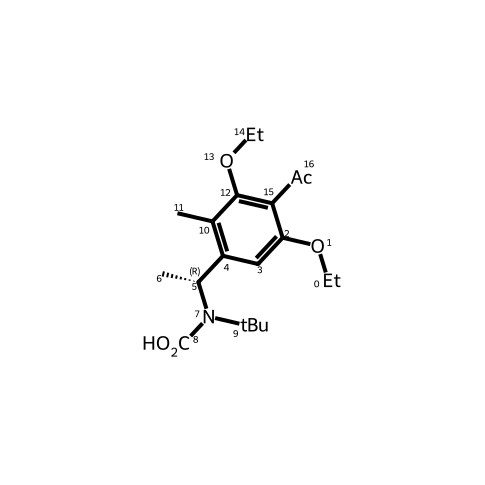 CCOc1cc([C@@H](C)N(C(=O)O)C(C)(C)C)c(C)c(OCC)c1C(C)=O